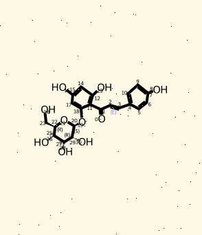 O=C(/C=C/c1ccc(O)cc1)c1c(O)cc(O)cc1O[C@@H]1O[C@H](CO)[C@@H](O)[C@@H](O)[C@H]1O